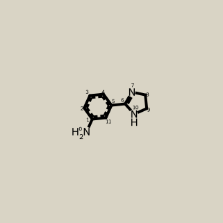 Nc1cccc(C2=NCCN2)c1